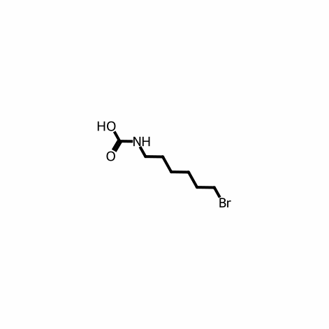 O=C(O)NCCCCCCBr